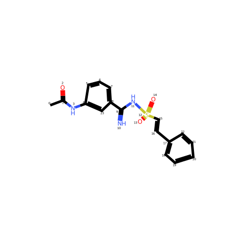 CC(=O)Nc1cccc(C(=N)NS(=O)(=O)C=Cc2ccccc2)c1